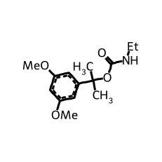 CCNC(=O)OC(C)(C)c1cc(OC)cc(OC)c1